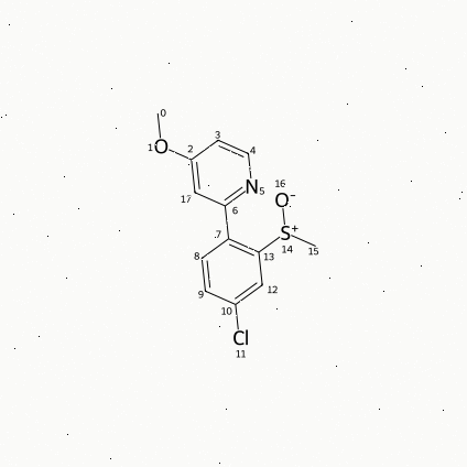 COc1ccnc(-c2ccc(Cl)cc2[S+](C)[O-])c1